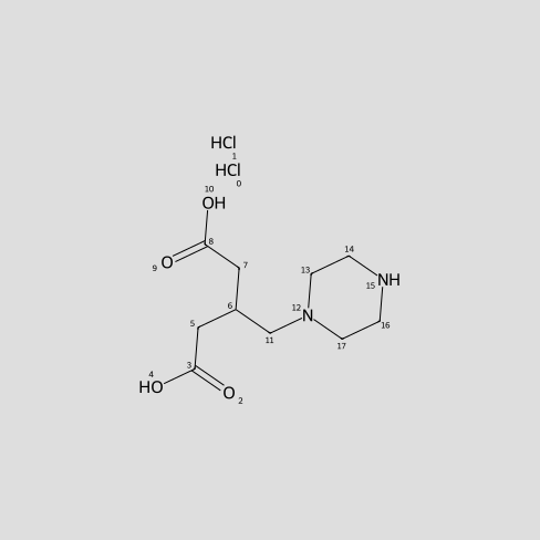 Cl.Cl.O=C(O)CC(CC(=O)O)CN1CCNCC1